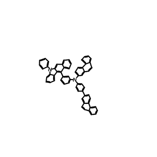 c1ccc(-n2c3ccccc3c3c(-c4cccc(N(c5ccc(-c6ccc7c(ccc8ccccc87)c6)cc5)c5ccc6c(ccc7ccccc76)c5)c4)c4ccccc4cc32)cc1